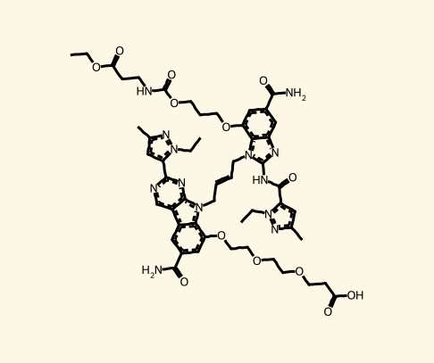 CCOC(=O)CCNC(=O)OCCCOc1cc(C(N)=O)cc2nc(NC(=O)c3cc(C)nn3CC)n(C/C=C/Cn3c4nc(-c5cc(C)nn5CC)ncc4c4cc(C(N)=O)cc(OCCOCCOCCC(=O)O)c43)c12